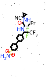 CC(C)C[C@H](N[C@@H](c1ccc(-c2ccc(S(N)(=O)=O)cc2)cc1)C(F)(F)C(F)(F)F)C(=O)NC1(C#N)CC1